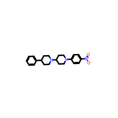 O=[N+]([O-])c1ccc(N2CCC(N3CCC(c4ccccc4)CC3)CC2)cc1